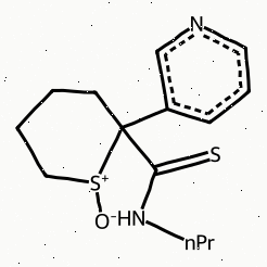 CCCNC(=S)C1(c2cccnc2)CCCC[S+]1[O-]